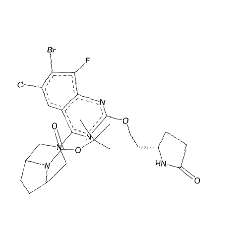 CC(C)(C)OC(=O)N1C2CCC1CN(c1nc(OC[C@@H]3CCC(=O)N3)nc3c(F)c(Br)c(Cl)cc13)C2